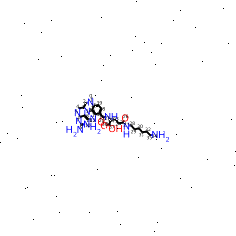 CN(Cc1cnc2nc(N)nc(N)c2n1)c1ccc(C(=O)N[C@@H](CCC(=O)NCCCCCCN)C(=O)O)cc1